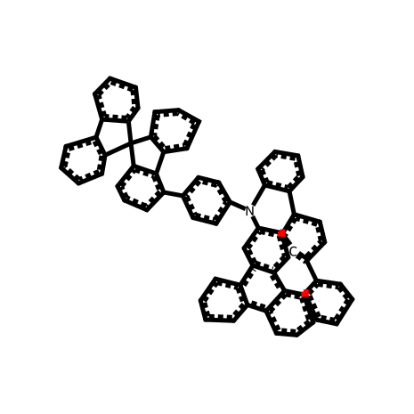 c1ccc(-c2ccc(-c3ccccc3N(c3ccc(-c4cccc5c4-c4ccccc4C54c5ccccc5-c5ccccc54)cc3)c3ccc4c5ccccc5c5ccccc5c4c3)cc2)cc1